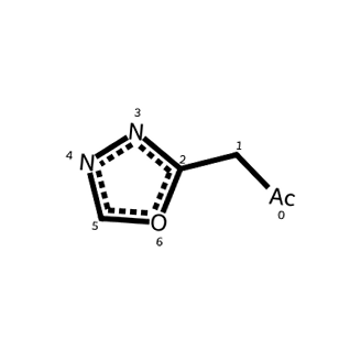 CC(=O)Cc1nnco1